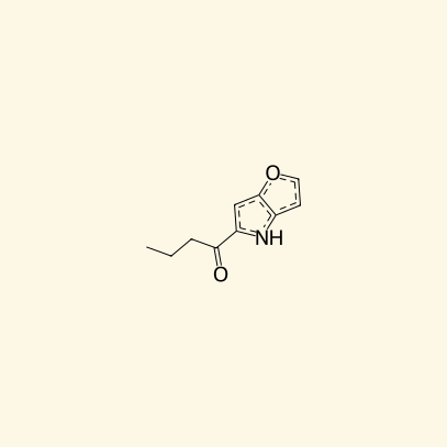 CCCC(=O)c1cc2occc2[nH]1